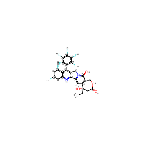 CC[C@@]1(O)CC(=O)OCc2c1cc1n(c2=O)Cc2c-1nc1cc(F)cc(F)c1c2-c1c(F)c(F)c(F)c(F)c1F